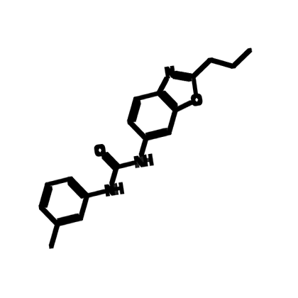 CCCc1nc2ccc(NC(=O)Nc3cccc(C)c3)cc2o1